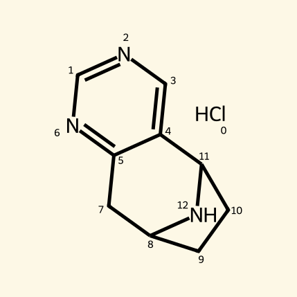 Cl.c1ncc2c(n1)CC1CCC2N1